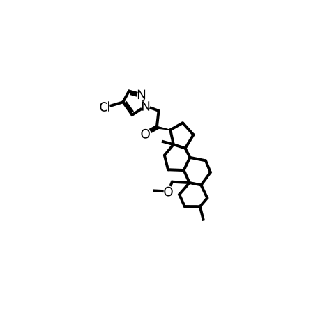 COCC12CCC(C)CC1CCC1C2CCC2(C)C1CC[C@@H]2C(=O)Cn1cc(Cl)cn1